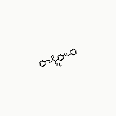 NC(C(=O)OCc1ccccc1)c1ccc(OCc2ccccc2)cc1